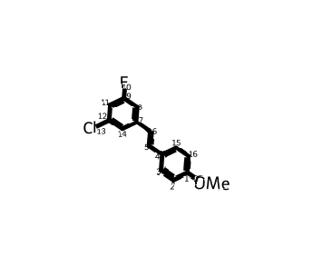 COc1ccc(/C=C/c2cc(F)cc(Cl)c2)cc1